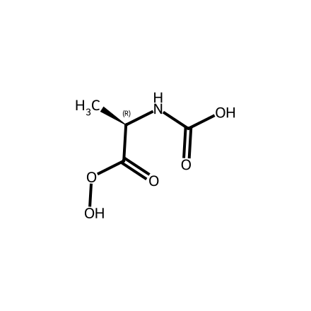 C[C@@H](NC(=O)O)C(=O)OO